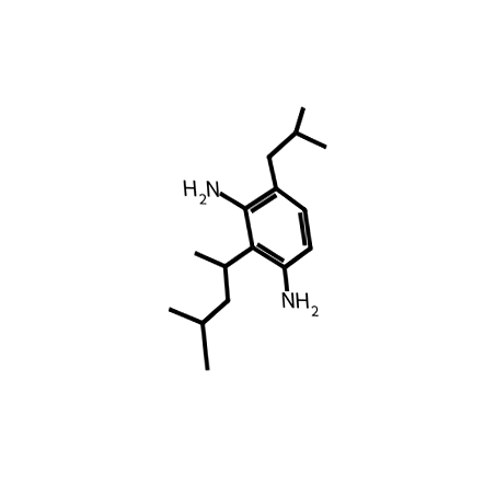 CC(C)Cc1ccc(N)c(C(C)CC(C)C)c1N